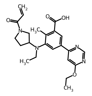 C=CC(=O)N1CCC(N(CC)c2cc(-c3cc(OCC)ncn3)cc(C(=O)O)c2C)C1